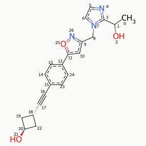 CC(O)c1nccn1Cc1cc(-c2ccc(C#C[C@H]3C[C@H](O)C3)cc2)on1